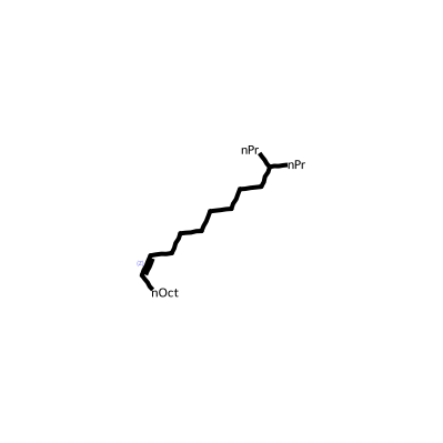 CCCCCCCC/C=C\CCCCCCCC(CCC)CCC